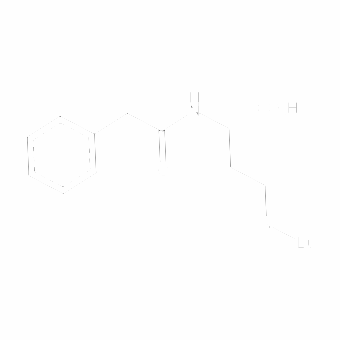 CCSCC[C@H](NC(=O)Cc1ccccc1)C(=O)O